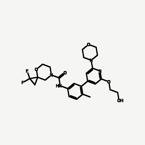 Cc1ccc(NC(=O)N2CCOC3(C2)CC3(F)F)cc1-c1cc(OCCO)nc(N2CCOCC2)c1